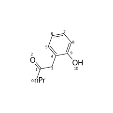 CCCC(=O)Cc1ccccc1O